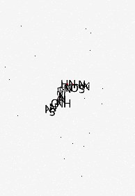 CN(C)c1nc(CC(=O)Nc2ccc([C@H]3CCC[C@H](c4ccc(NC(=O)Cc5csc(N(C)C)n5)nn4)C3)nn2)cs1